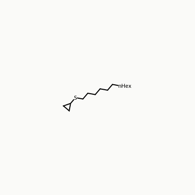 CCCCCCCCCCCCSC1CC1